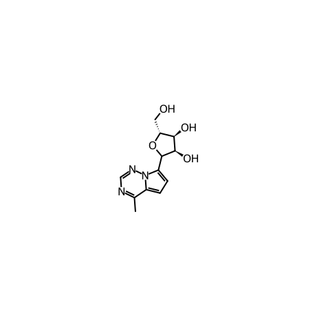 Cc1ncnn2c(C3O[C@H](CO)[C@@H](O)[C@H]3O)ccc12